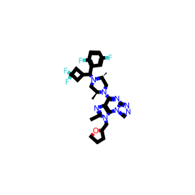 Cc1nc2c(N3C[C@@H](C)N(C(c4cc(F)ccc4F)C4CC(F)(F)C4)C[C@@H]3C)nc3nncn3c2n1CC1CCCO1